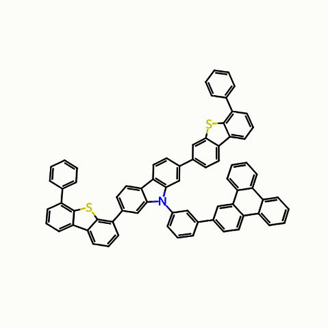 c1ccc(-c2cccc3c2sc2cc(-c4ccc5c6ccc(-c7cccc8c7sc7c(-c9ccccc9)cccc78)cc6n(-c6cccc(-c7ccc8c9ccccc9c9ccccc9c8c7)c6)c5c4)ccc23)cc1